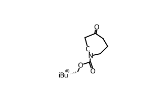 CC[C@@H](C)COC(=O)N1CCCC(=O)CC1